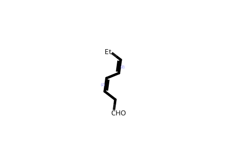 CC/C=C\C=C/CC=O